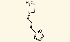 C\C=C/N=C\C=C\c1ccco1